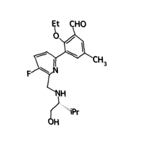 CCOc1c(C=O)cc(C)cc1-c1ccc(F)c(CN[C@@H](CO)C(C)C)n1